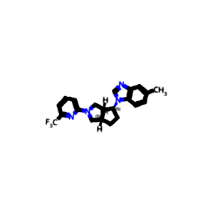 Cc1ccc2c(c1)ncn2[C@H]1CC[C@@H]2CN(c3cccc(C(F)(F)F)n3)C[C@@H]21